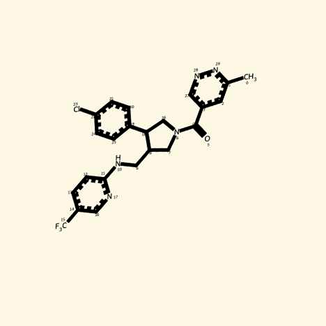 Cc1cc(C(=O)N2CC(CNc3ccc(C(F)(F)F)cn3)C(c3ccc(Cl)cc3)C2)cnn1